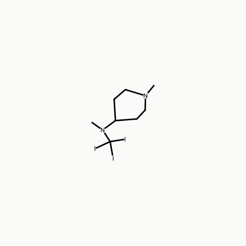 CN1CCC(N(C)C(I)(I)I)CC1